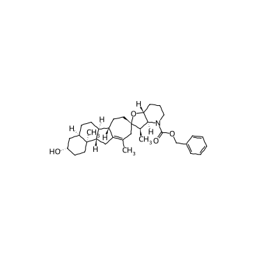 CC1=C2C[C@H]3[C@@H](CC[C@@H]4C[C@@H](O)CC[C@@]43C)[C@@H]2CC[C@@]2(C1)O[C@@H]1CCCN(C(=O)OCc3ccccc3)[C@H]1[C@H]2C